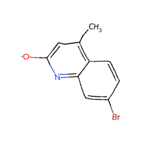 Cc1cc([O])nc2cc(Br)ccc12